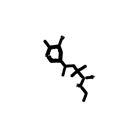 CCN[S+]([O-])C(C)(C)CC(C)c1cnc(C)c(Br)c1